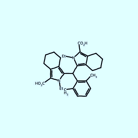 CCn1c(C(=O)O)c2c(c1C(c1c(C)cccc1C)c1c3c(c(C(=O)O)n1CC)CCCC3)CCCC2